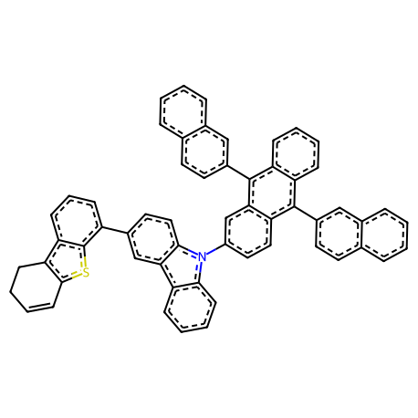 C1=Cc2sc3c(-c4ccc5c(c4)c4ccccc4n5-c4ccc5c(-c6ccc7ccccc7c6)c6ccccc6c(-c6ccc7ccccc7c6)c5c4)cccc3c2CC1